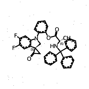 C[C@H](NC(c1ccccc1)(c1ccccc1)c1ccccc1)C(=O)Oc1ccccc1N1C[C@]2(CC2=O)c2cc(F)c(F)cc21